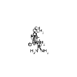 CC(C)Oc1ccc(NC(=O)[C@H](CCc2ccccc2)NC(=O)[C@@H](N)CC(=O)N(CCN)CCN)c(F)c1